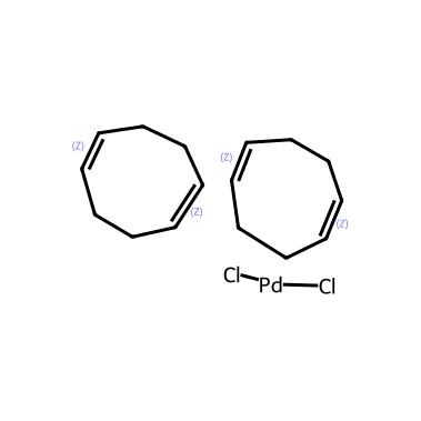 C1=C\CC/C=C\CC/1.C1=C\CC/C=C\CC/1.[Cl][Pd][Cl]